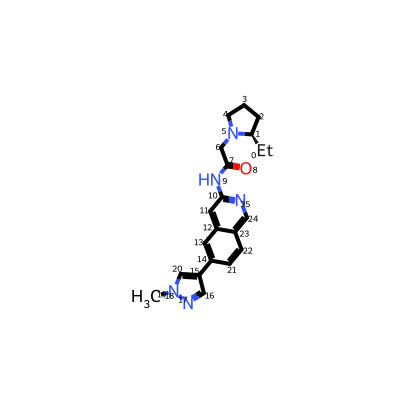 CC[C@@H]1CCCN1CC(=O)Nc1cc2cc(-c3cnn(C)c3)ccc2cn1